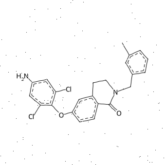 Cc1cccc(CN2CCc3cc(Oc4c(Cl)cc(N)cc4Cl)ccc3C2=O)c1